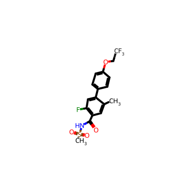 Cc1cc(C(=O)NS(C)(=O)=O)c(F)cc1-c1ccc(OCC(F)(F)F)cc1